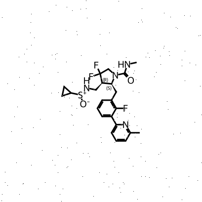 CNC(=O)N1CC(F)(F)[C@H](CN[S+]([O-])C2CC2)[C@@H]1Cc1cccc(-c2cccc(C)n2)c1F